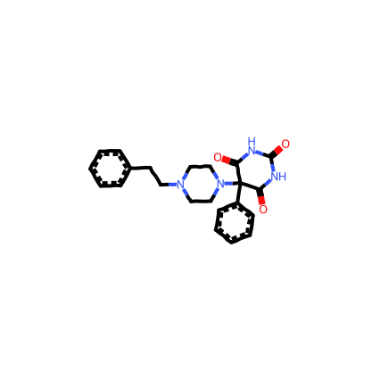 O=C1NC(=O)C(c2ccccc2)(N2CCN(CCc3ccccc3)CC2)C(=O)N1